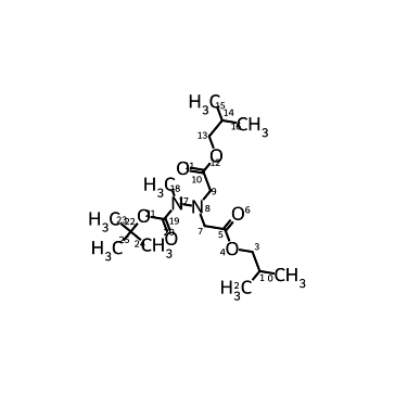 CC(C)COC(=O)CN(CC(=O)OCC(C)C)N(C)C(=O)OC(C)(C)C